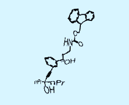 CCCC(O)(C#Cc1cccc([C@@H](O)CCNC(=O)OCC2c3ccccc3-c3ccccc32)c1)CCC